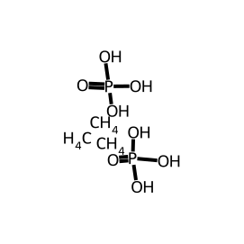 C.C.C.O=P(O)(O)O.O=P(O)(O)O